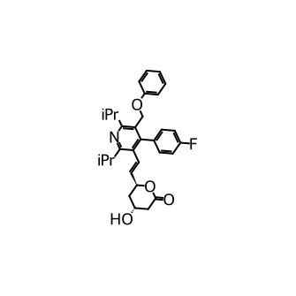 CC(C)c1nc(C(C)C)c(COc2ccccc2)c(-c2ccc(F)cc2)c1/C=C/[C@@H]1C[C@@H](O)CC(=O)O1